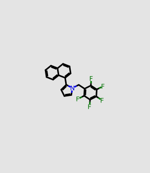 Fc1c(F)c(F)c(Cn2cccc2-c2cccc3ccccc23)c(F)c1F